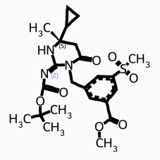 COC(=O)c1cc(CN2C(=O)C[C@@](C)(C3CC3)N/C2=N/C(=O)OC(C)(C)C)cc(S(C)(=O)=O)c1